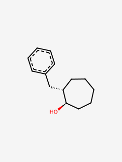 O[C@@H]1CCCCC[C@H]1Cc1ccccc1